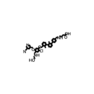 Cc1c(COc2cc(OCc3cncc(C#N)c3)c(CNCCO)cc2Cl)cccc1-c1cccc(-c2ccc(CNCCCC(=O)O)cc2)c1C